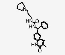 Cc1cc2cc(C(NC(=O)NCCCN3CCCCC3)c3ccccc3)ccc2[nH]c1=O